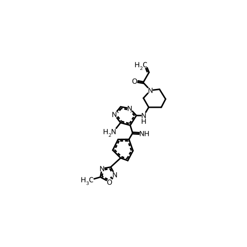 C=CC(=O)N1CCCC(Nc2ncnc(N)c2C(=N)c2ccc(-c3noc(C)n3)cc2)C1